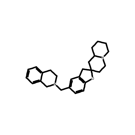 c1ccc2c(c1)CCN(Cc1ccc3c(c1)CC1(CCN4CCCCC4C1)O3)C2